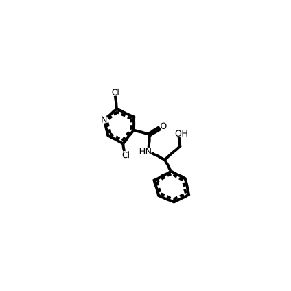 O=C(NC(CO)c1ccccc1)c1cc(Cl)ncc1Cl